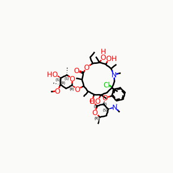 CCC1OC(=O)C(C)C(O[C@H]2C[C@@](C)(OC)[C@@H](O)[C@H](C)O2)C(C)C(O[C@@H]2O[C@H](C)C[C@H](N(C)C)[C@H]2Oc2ccccc2Cl)C(C)(O)CC(C)CN(C)C(C)C(O)C1(C)O